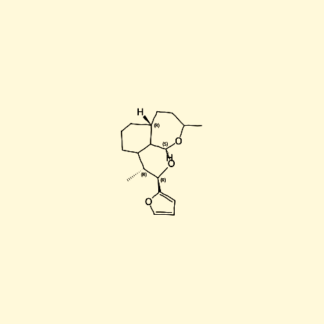 CC1CC[C@H]2CCCC3C2[C@@H](O1)O[C@@H](c1ccco1)[C@@H]3C